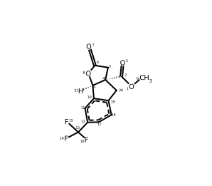 COC(=O)[C@@]12CC(=O)O[C@@H]1c1cc(C(F)(F)F)ccc1C2